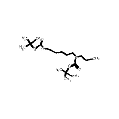 CCCN(CCCCCNC(=O)OC(C)(C)C)C(=O)OC(C)(C)C